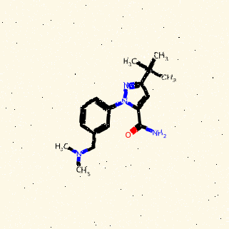 CN(C)Cc1cccc(-n2nc(C(C)(C)C)cc2C(N)=O)c1